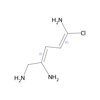 NC/C(N)=C/C=C(\N)Cl